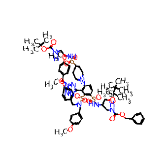 COc1ccc(CN(Cc2ccc(OC)cc2)S(=O)(=O)c2c(S(=O)(=O)NC(CNC(=O)OCc3ccccc3)CO[Si](C)(C)C(C)(C)C)ccc(N3CCC(S(=O)(=O)NCCNC(=O)OC(C)(C)C)CC3)c2-c2nnn(Cc3ccc(OC)cc3)n2)cc1